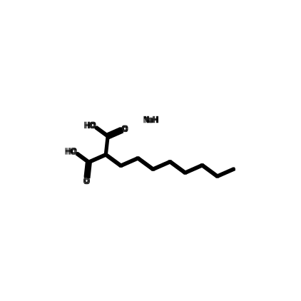 CCCCCCCCC(C(=O)O)C(=O)O.[NaH]